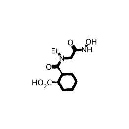 CCN(CC(=O)NO)C(=O)[C@H]1CCCC[C@H]1C(=O)O